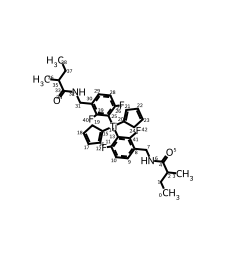 CCC(C)C(=O)NCc1ccc(F)[c]([Ti]([C]2=CC=CC2)([C]2=CC=CC2)[c]2c(F)ccc(CNC(=O)C(C)CC)c2F)c1F